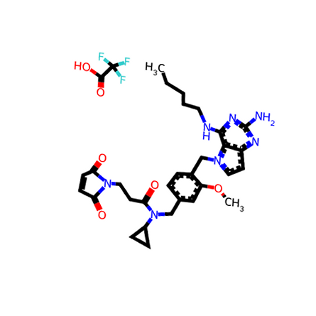 CCCCCNc1nc(N)nc2ccn(Cc3ccc(CN(C(=O)CCN4C(=O)C=CC4=O)C4CC4)cc3OC)c12.O=C(O)C(F)(F)F